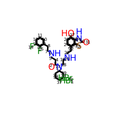 Br.Br.O=C(CCNCCc1cccc(F)c1F)N(CCNCCc1ccc(O)c2[nH]c(=O)sc12)C1CCCCC1